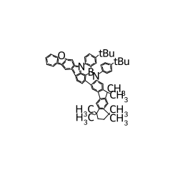 CC(C)(C)c1ccc(N2B3c4cc(C(C)(C)C)ccc4-n4c5cc6oc7ccccc7c6cc5c5ccc(c3c54)-c3cc4c(cc32)C(C)(C)c2cc3c(cc2-4)C(C)(C)CCC3(C)C)cc1